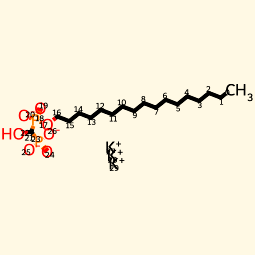 CCCCCCCCCCCCCCCCCOP(=O)([O-])C(O)P(=O)([O-])[O-].[K+].[K+].[K+]